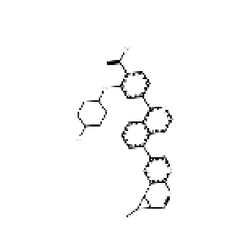 CC1C2C=Nc3ncc(-c4cccc5c(-c6ccc(C(N)=O)c(NC7CCC(O)CC7)c6)nccc45)cc3C12